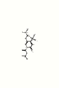 CC(C)CC(C)n1cc(CCN(C)C)c(C(F)(F)F)cc1=O